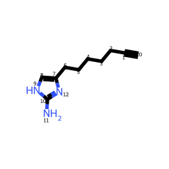 C#CCCCCCc1c[nH]c(N)n1